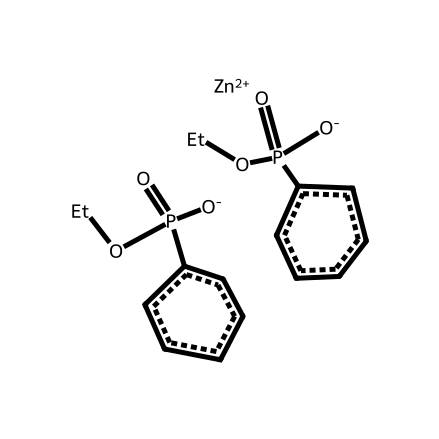 CCOP(=O)([O-])c1ccccc1.CCOP(=O)([O-])c1ccccc1.[Zn+2]